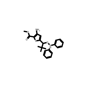 COC(=O)c1sc(C(O[SiH](c2ccccc2)c2ccccc2)C(C)(C)C)cc1N